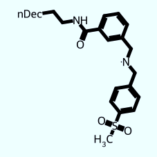 CCCCCCCCCCCCNC(=O)c1cccc(C[N]Cc2ccc(S(C)(=O)=O)cc2)c1